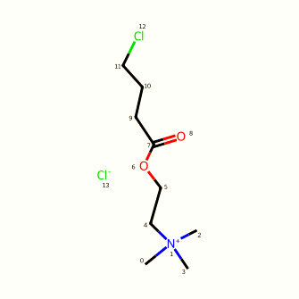 C[N+](C)(C)CCOC(=O)CCCCl.[Cl-]